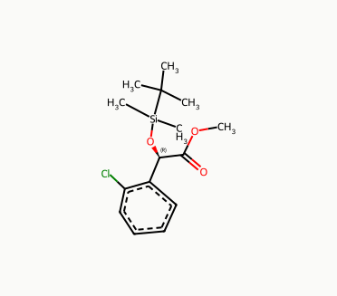 COC(=O)[C@H](O[Si](C)(C)C(C)(C)C)c1ccccc1Cl